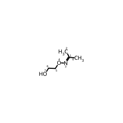 CC(C)=NOCCO